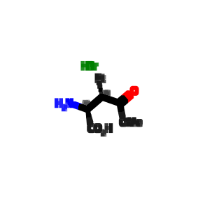 Br.CC[C@H](C(=O)OC)[C@H](N)C(=O)O